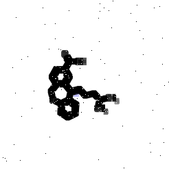 CN(C)CC/C=C1/c2cc(C(=O)O)ccc2COc2ccccc21